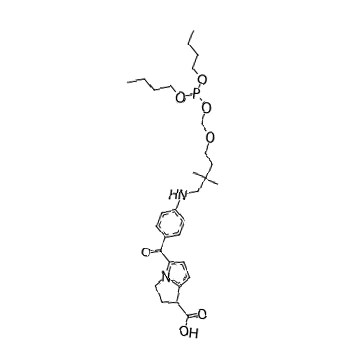 CCCCOP(OCCCC)OCOCCC(C)(C)CNc1ccc(C(=O)c2ccc3n2CCC3C(=O)O)cc1